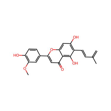 C=C(C)C=Cc1c(O)cc2oc(-c3ccc(O)c(OC)c3)cc(=O)c2c1O